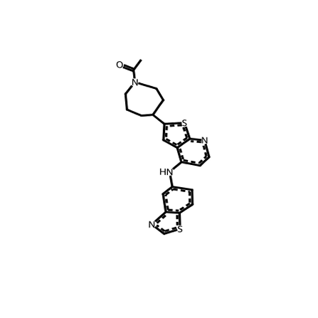 CC(=O)N1CCCC(c2cc3c(Nc4ccc5scnc5c4)ccnc3s2)CC1